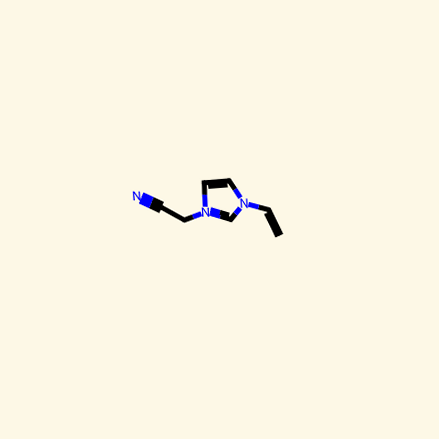 C=Cn1cc[n+](CC#N)c1